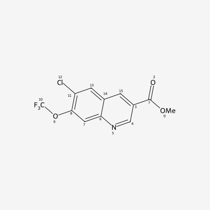 COC(=O)c1cnc2cc(OC(F)(F)F)c(Cl)cc2c1